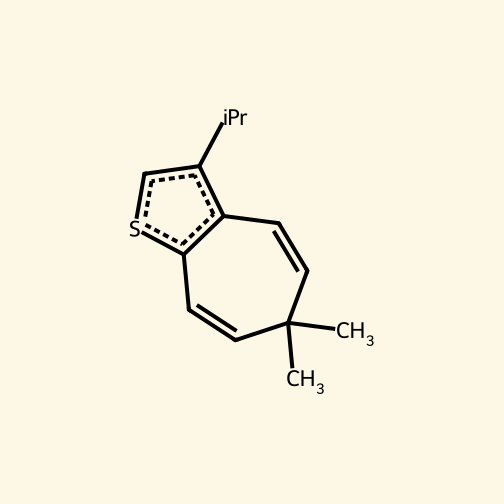 CC(C)c1csc2c1C=CC(C)(C)C=C2